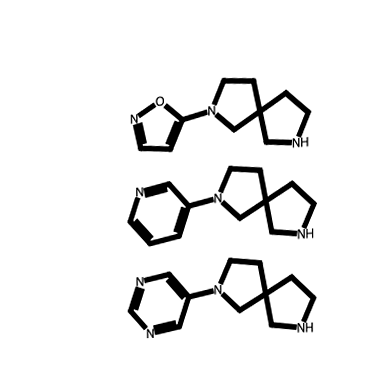 c1cc(N2CCC3(CCNC3)C2)on1.c1cncc(N2CCC3(CCNC3)C2)c1.c1ncc(N2CCC3(CCNC3)C2)cn1